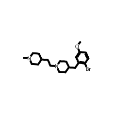 COc1ccc(Br)c(CC2CCN(CCC3CCN(C)CC3)CC2)c1